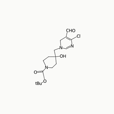 CC(C)(C)OC(=O)N1CCC(O)(CN2C=NC(Cl)=C(C=O)C2)CC1